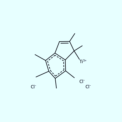 CC1=Cc2c(C)c(C)c(C)c(C)c2[C]1(C)[Ti+3].[Cl-].[Cl-].[Cl-]